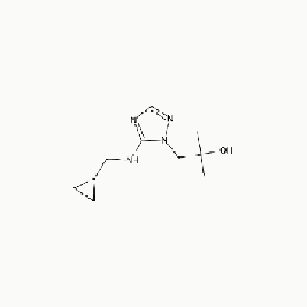 CC(C)(O)Cn1ncnc1NCC1CC1